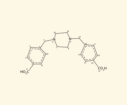 O=C(O)c1ccc(CN2CCN(Cc3ccc(C(=O)O)cc3)CC2)cc1